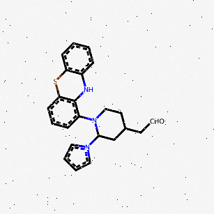 O=[C]CC1CCN(c2cccc3c2Nc2ccccc2S3)C(n2cccc2)C1